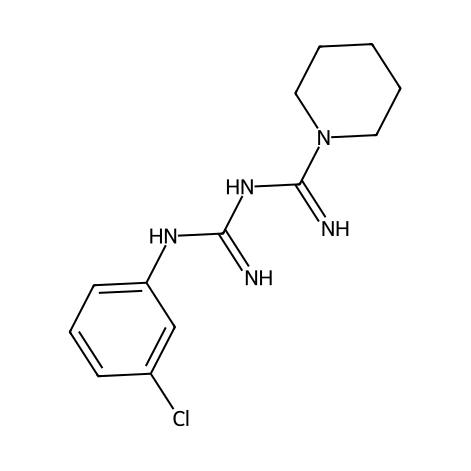 N=C(NC(=N)N1CCCCC1)Nc1cccc(Cl)c1